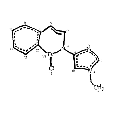 Cn1cnc(N2C=Cc3ccccc3B2Cl)c1